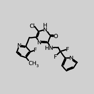 Cc1ccnc(Cc2nc(NCC(F)(F)c3ccccn3)c(=O)[nH]c2Cl)c1F